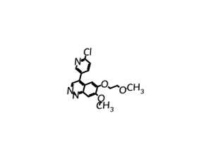 COCCOc1cc2c(-c3ccc(Cl)nc3)cnnc2cc1OC